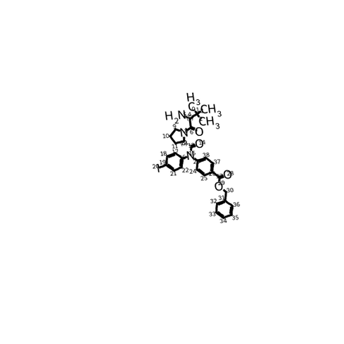 CC(C)(C)[C@H](N)C(=O)N1CCC[C@H]1C(=O)N(c1ccc(I)cc1)c1ccc(C(=O)OCc2ccccc2)cc1